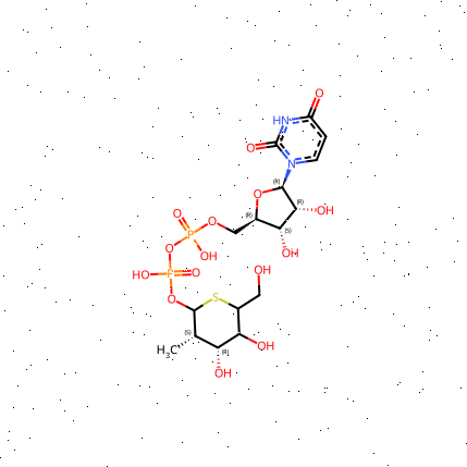 C[C@@H]1C(OP(=O)(O)OP(=O)(O)OC[C@H]2O[C@@H](n3ccc(=O)[nH]c3=O)[C@H](O)[C@@H]2O)SC(CO)C(O)[C@@H]1O